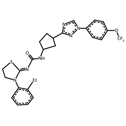 CCc1ccccc1N1CCS/C1=N\C(=O)NC1CCC(c2ncn(-c3ccc(OC(F)(F)F)cc3)n2)C1